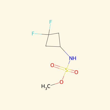 COS(=O)(=O)NC1CC(F)(F)C1